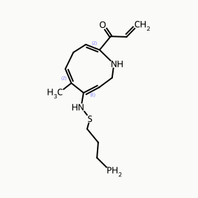 C=CC(=O)/C1=C/C/C=C(C)\C(NSCCCP)=C/CN1